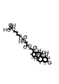 C[C@]12C[C@H](O)C3(F)[C@@H](CCC4=CC(=O)C=C[C@@]43C)C1CCC2C(=O)COC(=O)CNC(=O)OCCCCON(O)O